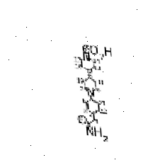 NC(=O)Cc1ccc(N2CCC(C3CCN(C(=O)O)CC3)CC2)cc1